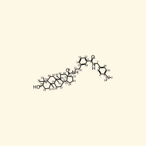 CN(C)c1ccc(CNC(=O)c2cccc(CCNC(=O)C34CCCC3C3CCC5C6(C)CCC(O)C(C)(C)C6CCC5(C)[C@]3(C)CC4)c2)cc1